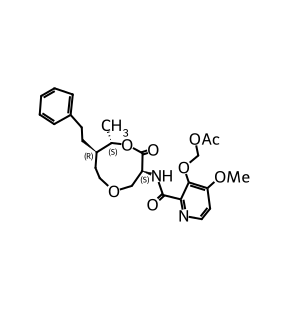 COc1ccnc(C(=O)N[C@H]2COCC[C@@H](CCc3ccccc3)[C@H](C)OC2=O)c1OCOC(C)=O